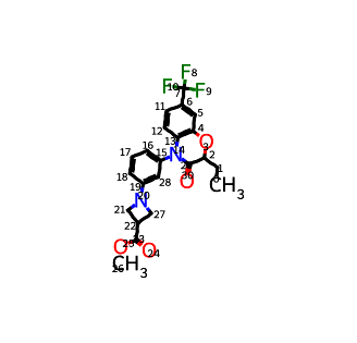 CCC1Oc2cc(C(F)(F)F)ccc2N(c2cccc(N3CC(C(=O)OC)C3)c2)C1=O